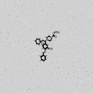 CC(C)(C)OC(=O)N1CCN(C(CC2(O)CCCCC2)c2ccc(OCc3ccccc3)c(C#N)c2)CC1